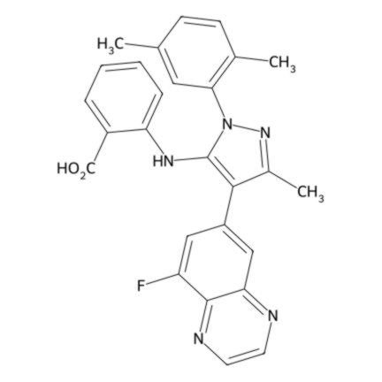 Cc1ccc(C)c(-n2nc(C)c(-c3cc(F)c4nccnc4c3)c2Nc2ccccc2C(=O)O)c1